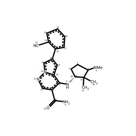 CNC1CC[C@@H](Nc2c(C(N)=O)cnn3cc(-c4ccccc4C#N)cc23)C1(C)C